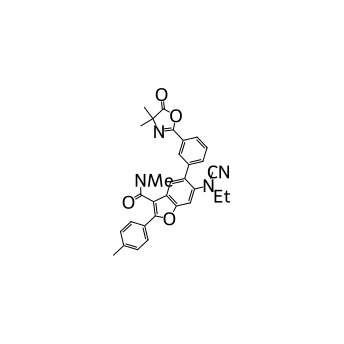 CCN(C#N)c1cc2oc(-c3ccc(C)cc3)c(C(=O)NC)c2cc1-c1cccc(C2=NC(C)(C)C(=O)O2)c1